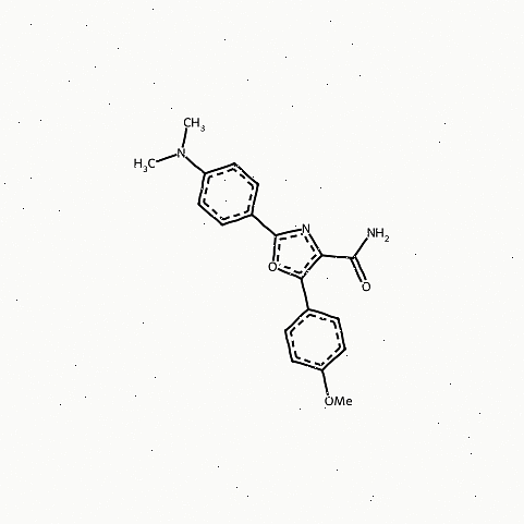 COc1ccc(-c2oc(-c3ccc(N(C)C)cc3)nc2C(N)=O)cc1